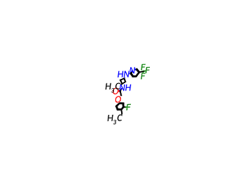 CCc1ccc(OCC(=O)NC2(C)CC(Nc3ccc(C(F)(F)F)cn3)C2)cc1F